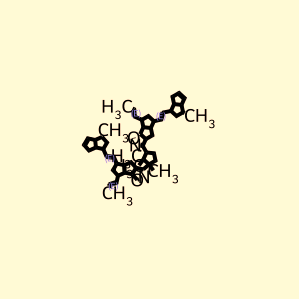 C/C=C/C1CC(/C=C/C2CC(C)C3C=CCC23)C2CC3C(C4CCC(C)(C5=NOC6C5CC5C(/C=C/C7CC(C)C8C=CCC78)CC(/C=C/C)C56)C4(C)C)=NOC3C12